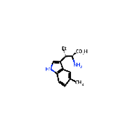 CC[C@@H](c1c[nH]c2ccc(C)cc12)[C@H](N)C(=O)O